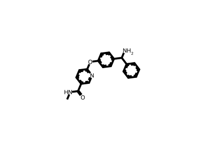 CNC(=O)c1ccc(Oc2ccc(C(N)c3ccccc3)cc2)nc1